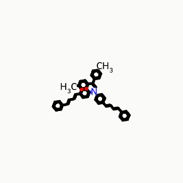 Cc1ccc(C(=CN(c2ccc(/C=C/C=C/c3ccccc3)cc2)c2ccc(/C=C/C=C/c3ccccc3)cc2)c2ccc(C)cc2)cc1